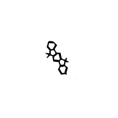 Cc1ccc2c(c1)C(C)(I)c1cc3c(cc1-2)C(I)(I)c1cc(C)ccc1-3